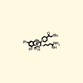 CC(C)c1cc(C(C)C)c(S(=O)(=O)N[C@@H](CCCCC(=N)N)C(=O)N2CCC(C(=O)CC(C)(C)C)CC2)c(C(C)C)c1